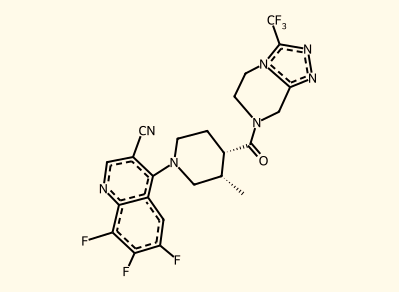 C[C@@H]1CN(c2c(C#N)cnc3c(F)c(F)c(F)cc23)CC[C@@H]1C(=O)N1CCn2c(nnc2C(F)(F)F)C1